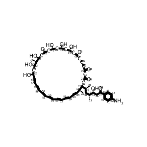 C[C@H]1[C@@H](O)CC(=O)C[C@H](O)C[C@H](O)C[C@H](O)CC(=O)CCCC(=O)CC(=O)O[C@@H]([C@@H](C)C[C@@H](C)[C@H](O)CC(=O)c2ccc(N)cc2)[C@@H](C)/C=C/C=C/C=C/C=C/C=C/C=C/C=C/[C@@H](O)C[C@@H]1O